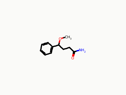 COC(CCC(N)=O)c1ccccc1